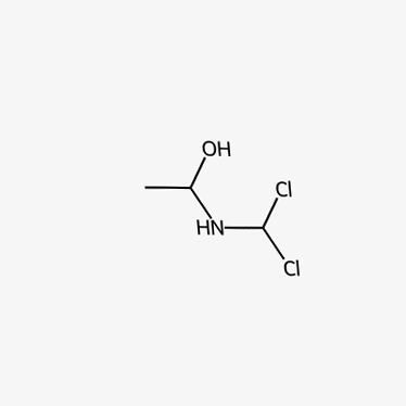 CC(O)NC(Cl)Cl